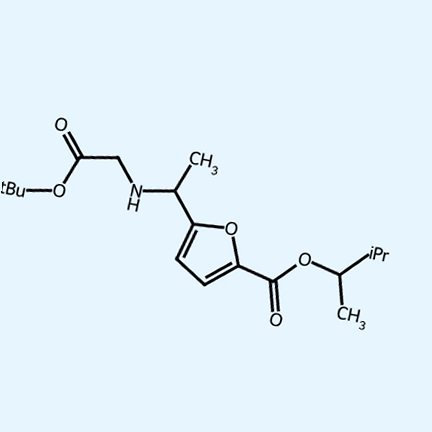 CC(NCC(=O)OC(C)(C)C)c1ccc(C(=O)OC(C)C(C)C)o1